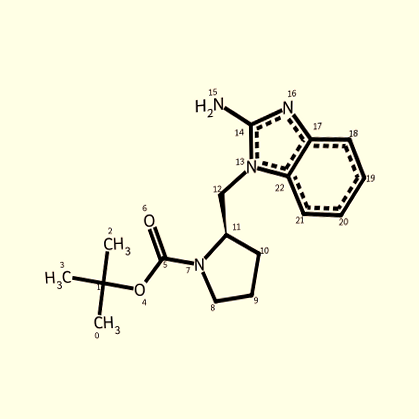 CC(C)(C)OC(=O)N1CCC[C@@H]1Cn1c(N)nc2ccccc21